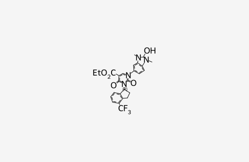 CCOC(=O)c1cn(-c2ccc3c(c2)N(C)C(O)N3C)c(=O)n([C@@H]2CCc3c2cccc3C(F)(F)F)c1=O